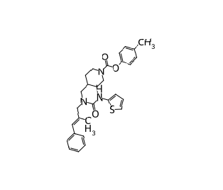 C/C(=C\c1ccccc1)CN(CC1CCN(C(=O)Oc2ccc(C)cc2)CC1)C(=O)Nc1cccs1